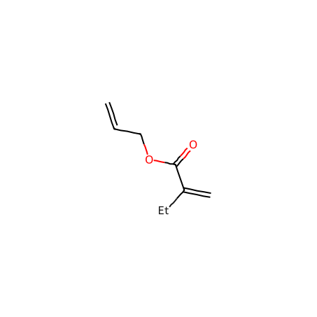 C=CCOC(=O)C(=C)CC